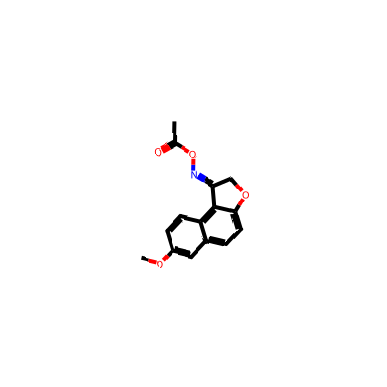 COc1ccc2c3c(ccc2c1)OC/C3=N\OC(C)=O